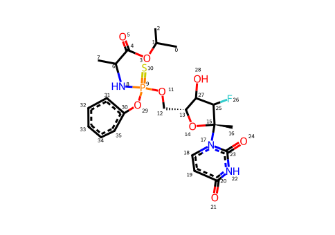 CC(C)OC(=O)C(C)NP(=S)(OC[C@H]1O[C@@](C)(n2ccc(=O)[nH]c2=O)C(F)C1O)Oc1ccccc1